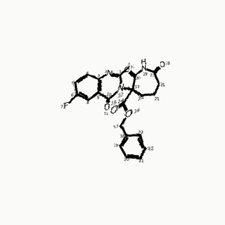 Cc1nc2ccc(F)cc2c(=O)n1C1(C(=O)OCc2ccccc2)CCCC(=O)NC1=O